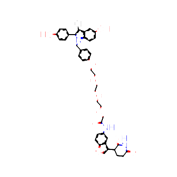 Cc1c(-c2ccc(O)cc2)n(Cc2ccc(OCCOCCOCCOCC(=O)Nc3ccc4occ(C5CCC(=O)NC5=O)c4c3)cc2)c2ccc(O)cc12